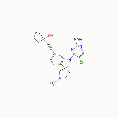 CNc1ncc(Cl)c(N2CC3(CCN(C)C3)c3ccc(C#CC4(O)CCCC4)cc32)n1